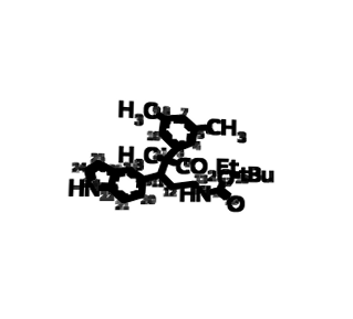 CCOC(=O)C(C)(c1cc(C)cc(C)c1)C(CCNC(=O)OC(C)(C)C)c1ccc2[nH]ccc2c1